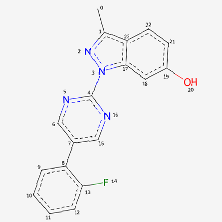 Cc1nn(-c2ncc(-c3ccccc3F)cn2)c2cc(O)ccc12